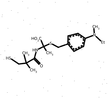 CCN(C)c1ccc(CSC(C)(NC(=O)C(C)(C)CS)C(=O)O)cc1